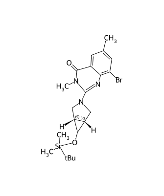 Cc1cc(Br)c2nc(N3C[C@@H]4C(O[Si](C)(C)C(C)(C)C)[C@@H]4C3)n(C)c(=O)c2c1